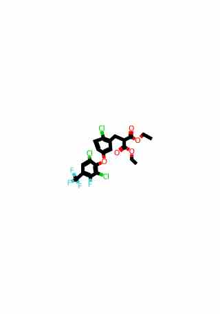 CCOC(=O)C(Cc1cc(Oc2c(Cl)cc(C(F)(F)F)c(F)c2Cl)ccc1Cl)C(=O)OCC